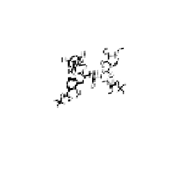 CCN1CCN(C(=O)N[C@H](CNC(=O)OC(C)(C)C)C(=O)N[C@@H](Cc2cccc(C(=O)OC(C)(C)C)c2OC)B2O[C@@H]3C[C@@H]4C[C@@H](C4(C)C)[C@]3(C)O2)C(=O)C1=O